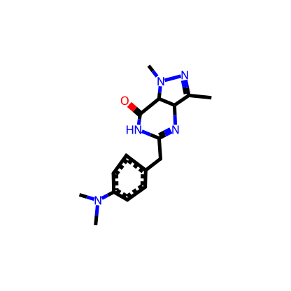 CC1=NN(C)C2C(=O)NC(Cc3ccc(N(C)C)cc3)=NC12